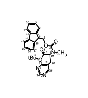 CN(C(=O)OCC1c2ccccc2-c2ccccc21)[C@@H](Cc1cncnc1)C(=O)OC(C)(C)C